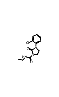 CCNC(=O)N1CCN(c2ccccc2Cl)C1=O